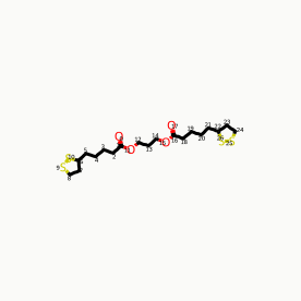 O=C(CCCCC1CCSS1)OCCCOC(=O)CCCCC1CCSS1